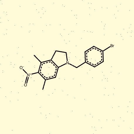 Cc1cc2c(c(C)c1[N+](=O)[O-])CCN2Cc1ccc(Br)cc1